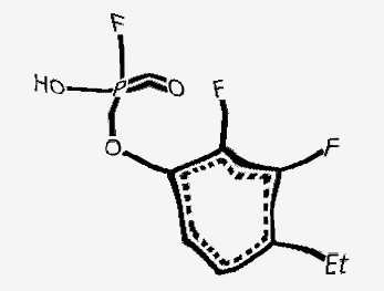 CCc1ccc(OP(=O)(O)F)c(F)c1F